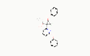 COC(=O)C1(c2cccc(Oc3ccccc3)n2)C(Oc2ccccc2)C1(Cl)Cl